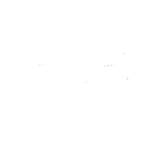 CCCCOc1ccc2c(c1)CCN=C2CCC